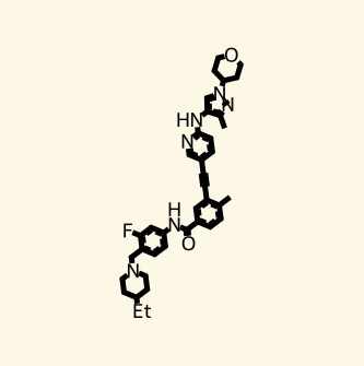 CCC1CCN(Cc2ccc(NC(=O)c3ccc(C)c(C#Cc4ccc(Nc5cn(C6CCOCC6)nc5C)nc4)c3)cc2F)CC1